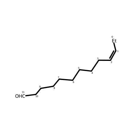 CC/C=C\CCCCCCCCC=O